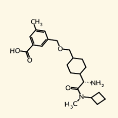 Cc1cc(COCC2CCC([C@H](N)C(=O)N(C)C3CCC3)CC2)cc(C(=O)O)c1